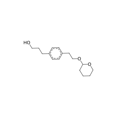 OCCCc1ccc(CCOC2CCCCO2)cc1